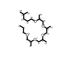 CCCOCC(C)OCC(C)OCC(C)OCC(C)OCCCC(C)C